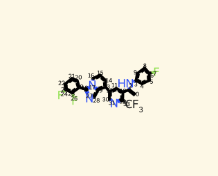 C=C(Nc1ccc(F)cc1)c1cc(-c2cccn3c(-c4cccc(F)c4F)ncc23)cnc1C(F)(F)F